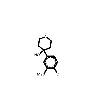 COc1cc(C2(O)CCNCC2)ccc1Cl